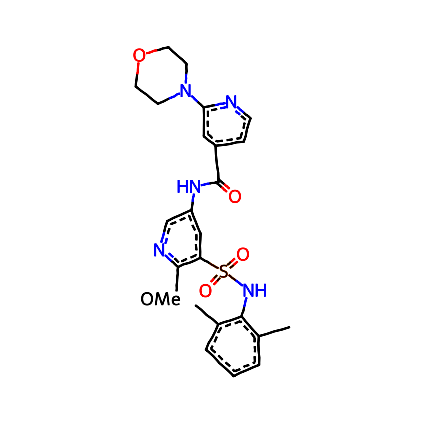 COc1ncc(NC(=O)c2ccnc(N3CCOCC3)c2)cc1S(=O)(=O)Nc1c(C)cccc1C